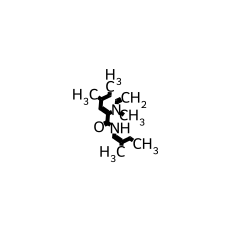 C=CN(C)/C(=C\C(C)CC)C(=O)N/C=C(/C)CC